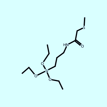 CCO[Si](CCCNC(=O)CSC)(OCC)OCC